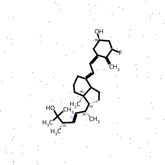 C=C1C(=CC=C2CCC[C@@]3(C)C2CC[C@@H]3[C@H](C)/C=C/[C@H](C)C(C)(C)O)C[C@@H](O)CC1F